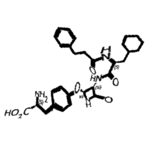 N[C@@H](Cc1ccc(O[C@H]2NC(=O)[C@H]2NC(=O)[C@H](CC2CCCCC2)NC(=O)CCc2ccccc2)cc1)C(=O)O